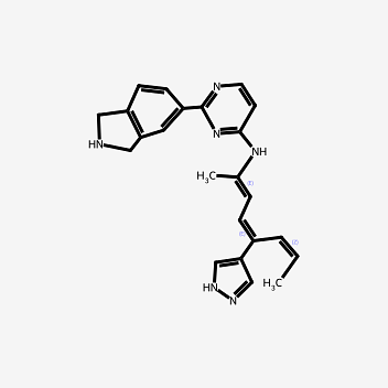 C\C=C/C(=C\C=C(/C)Nc1ccnc(-c2ccc3c(c2)CNC3)n1)c1cn[nH]c1